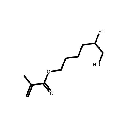 C=C(C)C(=O)OCCCCC(CC)CO